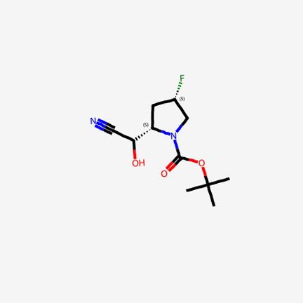 CC(C)(C)OC(=O)N1C[C@@H](F)C[C@H]1C(O)C#N